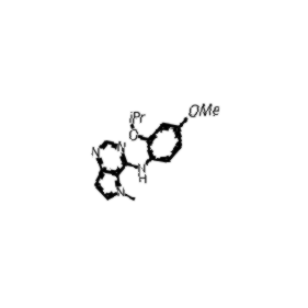 COc1ccc(Nc2ncnc3ccn(C)c23)c(OC(C)C)c1